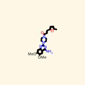 COc1cc2nc(N3CCN(C(=O)C=Cc4ccc(C)o4)CC3)nc(N)c2cc1OC